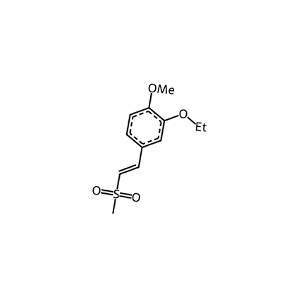 CCOc1cc(C=CS(C)(=O)=O)ccc1OC